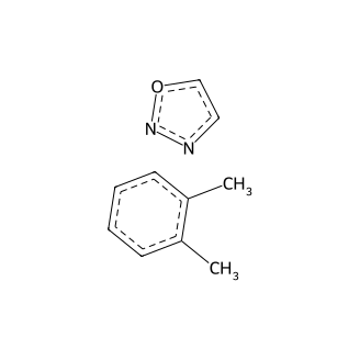 Cc1ccccc1C.c1conn1